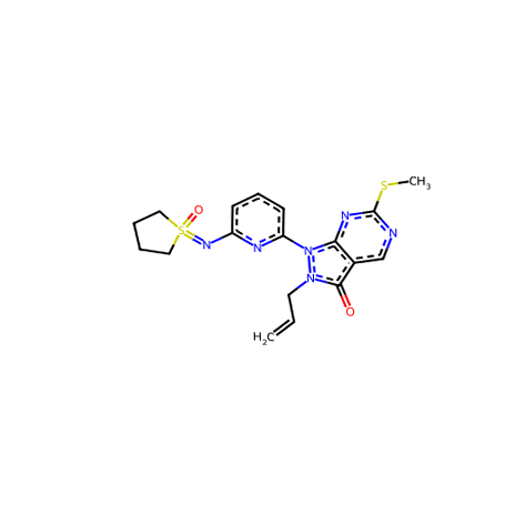 C=CCn1c(=O)c2cnc(SC)nc2n1-c1cccc(N=S2(=O)CCCC2)n1